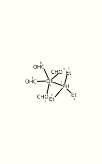 CC[PH](CC)(CC)[Os]([CH]=O)([CH]=O)([CH]=O)[CH]=O